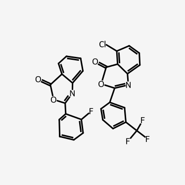 O=c1oc(-c2cccc(C(F)(F)F)c2)nc2cccc(Cl)c12.O=c1oc(-c2ccccc2F)nc2ccccc12